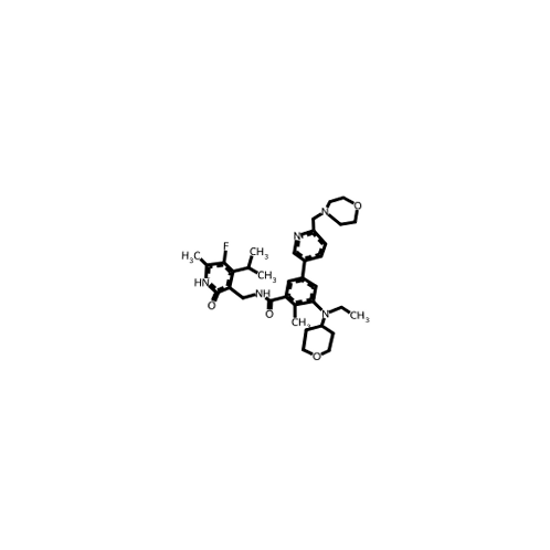 CCN(c1cc(-c2ccc(CN3CCOCC3)nc2)cc(C(=O)NCc2c(C(C)C)c(F)c(C)[nH]c2=O)c1C)C1CCOCC1